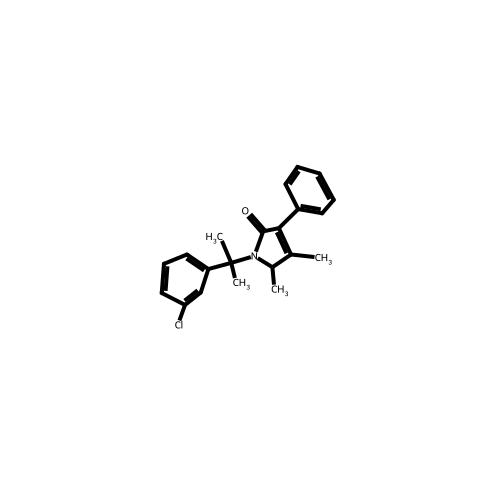 CC1=C(c2ccccc2)C(=O)N(C(C)(C)c2cccc(Cl)c2)C1C